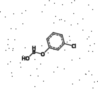 OBOc1cccc(Cl)c1